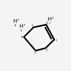 C1=CCCCC1.[H+].[H+].[H+]